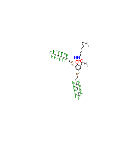 CCCCCCNC(=O)Oc1c(C)cc(CSCCC(F)(F)C(F)(F)C(F)(F)C(F)(F)C(F)(F)C(F)(F)F)cc1CSCCC(F)(F)C(F)(F)C(F)(F)C(F)(F)C(F)(F)C(F)(F)F